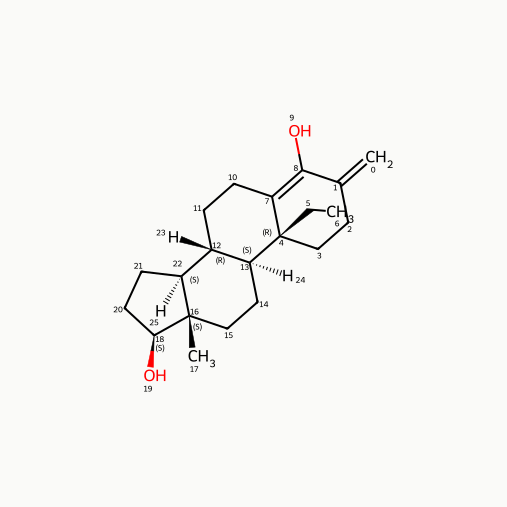 C=C1CC[C@@]2(CC)C(=C1O)CC[C@@H]1[C@@H]2CC[C@]2(C)[C@@H](O)CC[C@@H]12